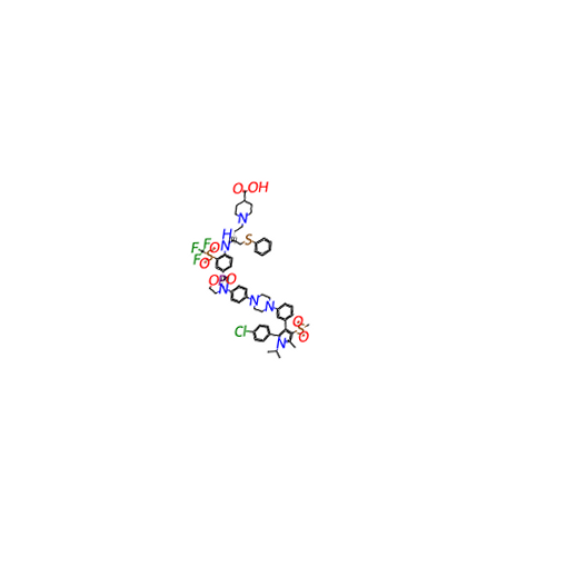 Cc1c(S(C)(=O)=O)c(-c2cccc(N3CCN(c4ccc(N5CCO[P@]5(=O)c5ccc(N[C@H](CCN6CCC(C(=O)O)CC6)CSc6ccccc6)c(S(=O)(=O)C(F)(F)F)c5)cc4)CC3)c2)c(-c2ccc(Cl)cc2)n1C(C)C